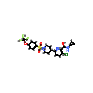 O=C(NC1CC1)c1nc(C2=CCN(S(=O)(=O)c3ccc(OC(F)(F)F)cc3)CC2)ccc1Cl